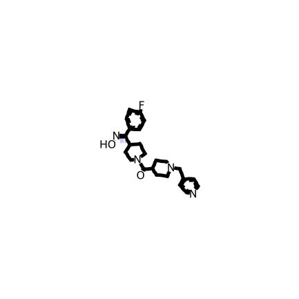 O=C(C1CCN(Cc2ccncc2)CC1)N1CCC(/C(=N\O)c2ccc(F)cc2)CC1